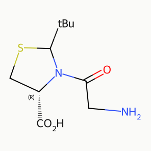 CC(C)(C)C1SC[C@@H](C(=O)O)N1C(=O)CN